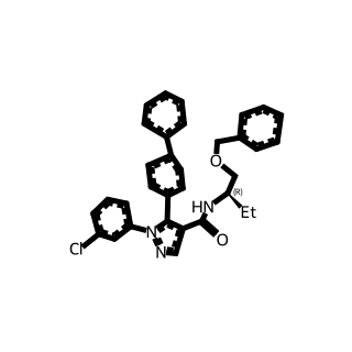 CC[C@H](COCc1ccccc1)NC(=O)c1cnn(-c2cccc(Cl)c2)c1-c1ccc(-c2ccccc2)cc1